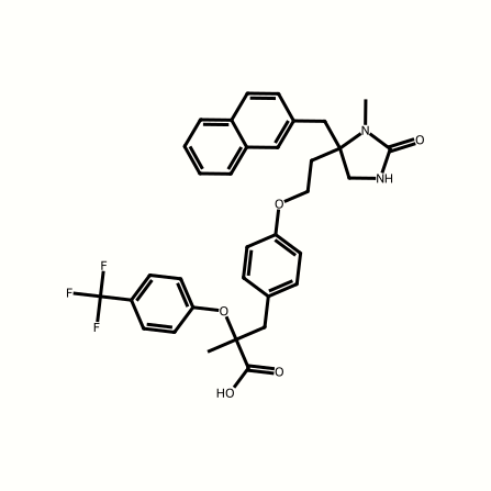 CN1C(=O)NCC1(CCOc1ccc(CC(C)(Oc2ccc(C(F)(F)F)cc2)C(=O)O)cc1)Cc1ccc2ccccc2c1